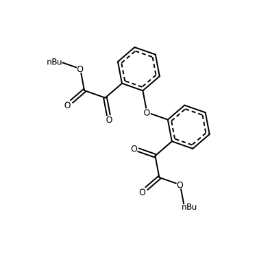 CCCCOC(=O)C(=O)c1ccccc1Oc1ccccc1C(=O)C(=O)OCCCC